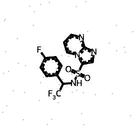 O=S(=O)(NC(c1ccc(F)cc1)C(F)(F)F)c1cnc2ncccn12